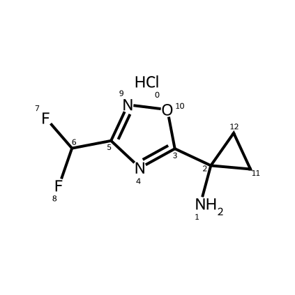 Cl.NC1(c2nc(C(F)F)no2)CC1